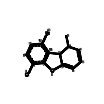 CC1C=CC=C2Oc3c(Cl)ccc(Br)c3C21